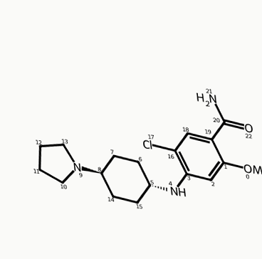 COc1cc(N[C@H]2CC[C@H](N3CCCC3)CC2)c(Cl)cc1C(N)=O